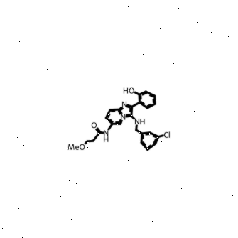 COCCC(=O)Nc1ccc2nc(-c3ccccc3O)c(NCc3cccc(Cl)c3)n2c1